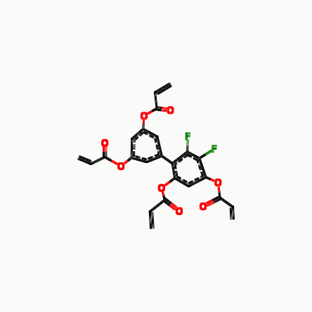 C=CC(=O)Oc1cc(OC(=O)C=C)cc(-c2c(OC(=O)C=C)cc(OC(=O)C=C)c(F)c2F)c1